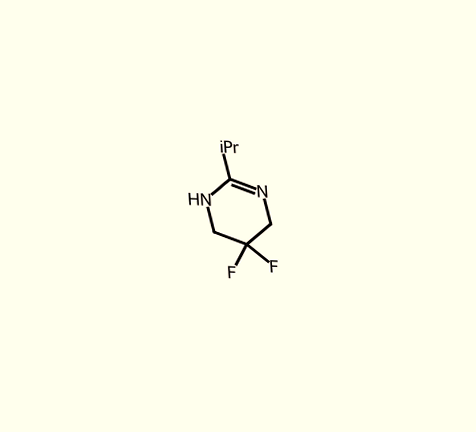 CC(C)C1=NCC(F)(F)CN1